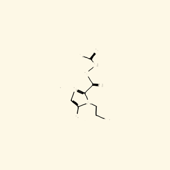 Cl.N=C(N)NNC(=N)c1ncc([N+](=O)[O-])n1CCO